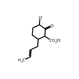 CC=CCC1CCC(Cl)C(=O)C1C(=O)OCC